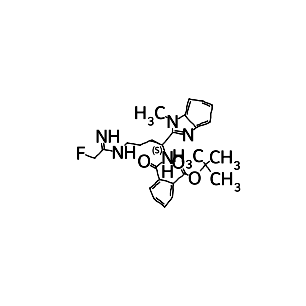 Cn1c([C@H](CCCNC(=N)CF)NC(=O)c2ccccc2C(=O)OC(C)(C)C)nc2ccccc21